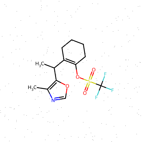 Cc1ncoc1C(C)C1=C(OS(=O)(=O)C(F)(F)F)CCCC1